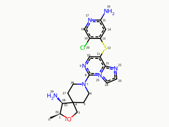 C[C@@H]1OCC2(CCN(c3ncc(Sc4cc(N)ncc4Cl)c4nccn34)CC2)[C@@H]1N